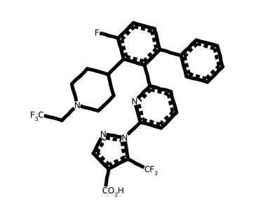 O=C(O)c1cnn(-c2cccc(-c3c(-c4ccccc4)ccc(F)c3C3CCN(CC(F)(F)F)CC3)n2)c1C(F)(F)F